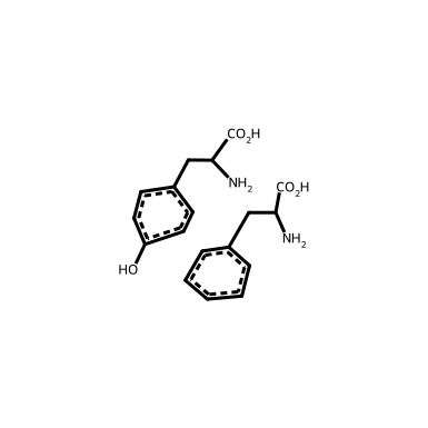 NC(Cc1ccc(O)cc1)C(=O)O.NC(Cc1ccccc1)C(=O)O